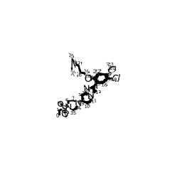 CCS(=O)(=O)N1CCN(c2ccn3cc(-c4cc(Cl)c(OC)cc4OCCCN(C)C)nc3c2)CC1